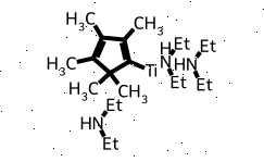 CC1=C(C)C(C)(C)[C]([Ti])=C1C.CCNCC.CCNCC.CCNCC